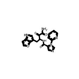 NC(=O)C(=O)C(Cc1c[nH]c2ccoc12)NC(=O)c1cncn1-c1ccccn1